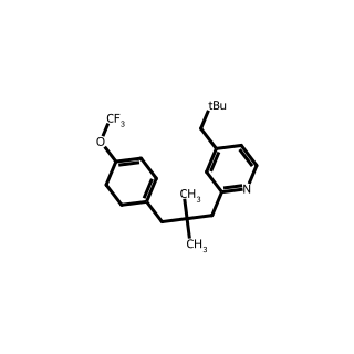 CC(C)(C)Cc1ccnc(CC(C)(C)CC2=CC=C(OC(F)(F)F)CC2)c1